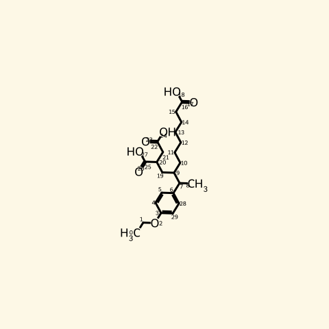 CCOc1ccc(C(C)C(CCCCCCC(=O)O)CC(CC(=O)O)C(=O)O)cc1